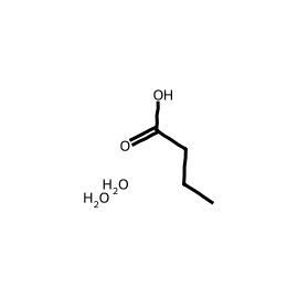 CCCC(=O)O.O.O